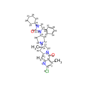 Cc1cc(Cl)nc(C)c1C(=O)N1CCC(C)(N2CCC(N3C(=O)N(C4CCCCC4)C[C@H]3c3ccccc3)CC2)CC1